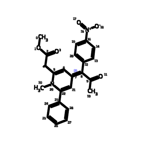 COC(=O)CC1=C/C(=C(/C(C)=O)c2ccc([N+](=O)[O-])cc2)C=C(c2ccccc2)N1C